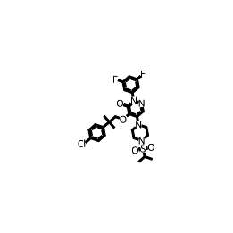 CC(C)S(=O)(=O)N1CCN(c2cnn(-c3cc(F)cc(F)c3)c(=O)c2OCC(C)(C)c2ccc(Cl)cc2)CC1